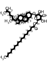 CCCCCCCCCCCCCCCCCC(=O)OC[C@H]1O[C@@H](O[C@H]2CC[C@@]3(C)C(=CC[C@H]4[C@@H]5CC[C@H]([C@H](C)CCCC(C)C)[C@@]5(C)CC[C@@H]43)C2)[C@H](O)[C@@H](O)[C@@H]1O